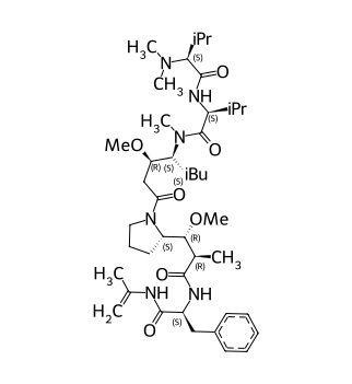 C=C(C)NC(=O)[C@H](Cc1ccccc1)NC(=O)[C@H](C)[C@@H](OC)[C@@H]1CCCN1C(=O)C[C@@H](OC)[C@H]([C@@H](C)CC)N(C)C(=O)[C@@H](NC(=O)[C@H](C(C)C)N(C)C)C(C)C